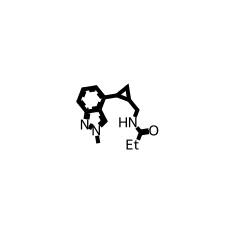 CCC(=O)NCC1CC1c1cccc2nn(C)cc12